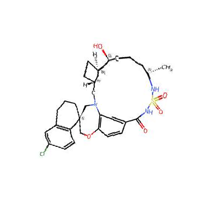 C[C@H]1CCC[C@H](O)[C@@H]2CC[C@H]2CN2C[C@@]3(CCCc4cc(Cl)ccc43)COc3ccc(cc32)C(=O)NS(=O)(=O)N1